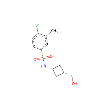 Cc1cc(S(=O)(=O)N[C@H]2C[C@@H](CO)C2)ccc1Br